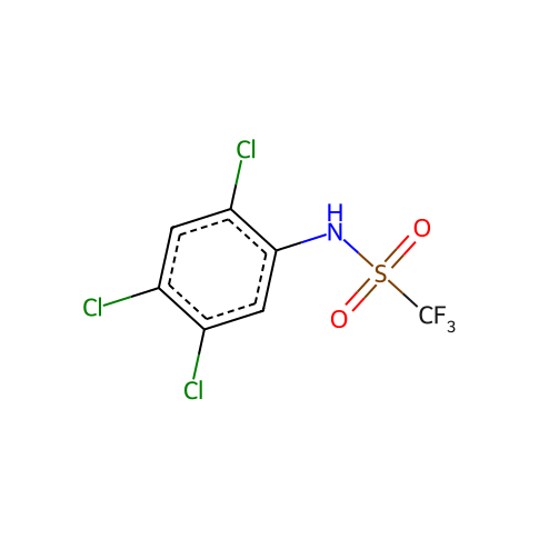 O=S(=O)(Nc1cc(Cl)c(Cl)cc1Cl)C(F)(F)F